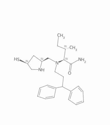 CC[C@H](C)[C@@H](C(N)=O)N(CCC(c1ccccc1)c1ccccc1)C[C@@H]1C[C@H](S)CN1